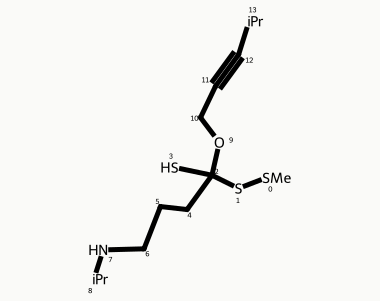 CSSC(S)(CCCNC(C)C)OCC#CC(C)C